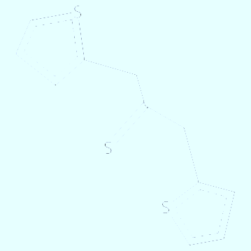 S=C(Cc1cccs1)Cc1cccs1